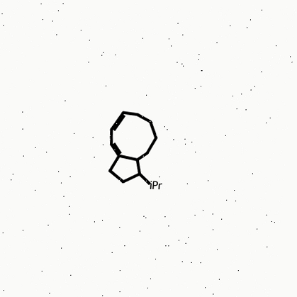 CC(C)C1CCC2=CC=CCCCCC21